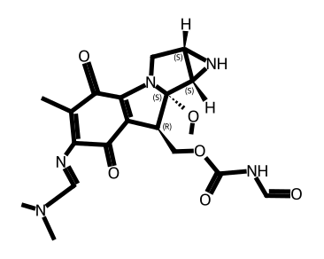 CO[C@]12[C@@H](COC(=O)NC=O)C3=C(C(=O)C(C)=C(N=CN(C)C)C3=O)N1C[C@@H]1N[C@@H]12